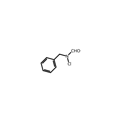 O=[C]N(Cl)Cc1ccccc1